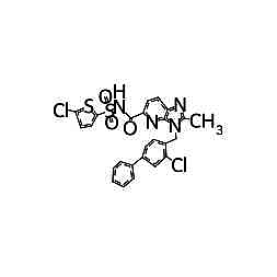 Cc1nc2ccc(C(=O)NS(=O)(=O)c3ccc(Cl)s3)nc2n1Cc1ccc(-c2ccccc2)cc1Cl